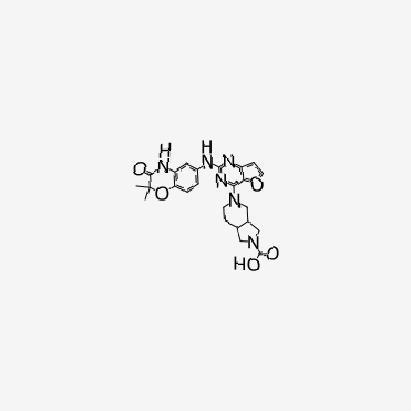 CC1(C)Oc2ccc(Nc3nc(N4CCC5CN(C(=O)O)CC5C4)c4occc4n3)cc2NC1=O